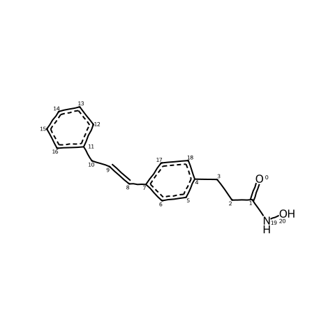 O=C(CCc1ccc(C=CCc2ccccc2)cc1)NO